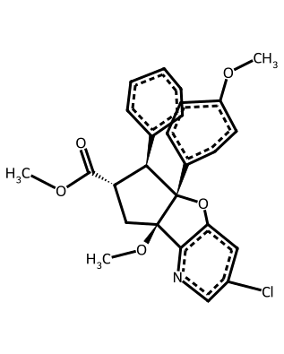 COC(=O)[C@H]1C[C@@]2(OC)c3ncc(Cl)cc3O[C@@]2(c2ccc(OC)cc2)[C@@H]1c1ccccc1